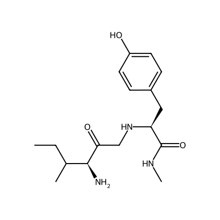 CCC(C)[C@H](N)C(=O)CN[C@@H](Cc1ccc(O)cc1)C(=O)NC